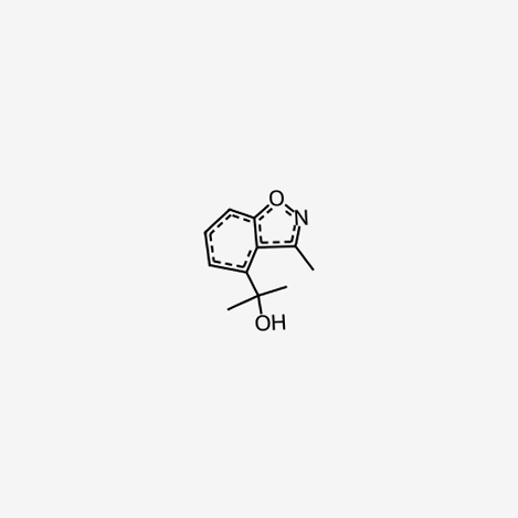 Cc1noc2cccc(C(C)(C)O)c12